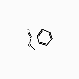 COP=O.c1ccccc1